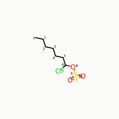 CCCCCC[C](Cl)O[SH](=O)=O